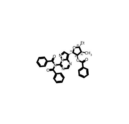 CC[C@H]1O[C@@H](c2cnn3c(N(C(=O)c4ccccc4)C(=O)c4ccccc4)ncnc23)[C@H](OC(=O)c2ccccc2)[C@@H]1C